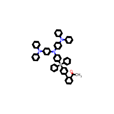 CC(=O)c1ccccc1-c1ccc([Si](c2ccccc2)(c2ccccc2)c2ccc(N(c3ccc(N(c4ccccc4)c4ccccc4)cc3)c3ccc(N(c4ccccc4)c4ccccc4)cc3)cc2)cc1